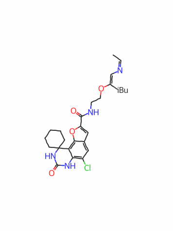 C/C=N\C=C(\OCCNC(=O)c1cc2cc(Cl)c3c(c2o1)C1(CCCCC1)NC(=O)N3)C(C)CC